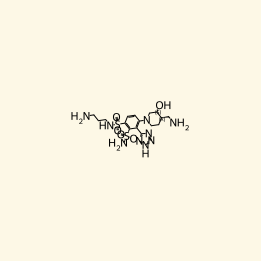 NCCCNS(=O)(=O)c1ccc(N2CC[C@H](CN)[C@H](O)C2)c(-c2nn[nH]n2)c1S(N)(=O)=O